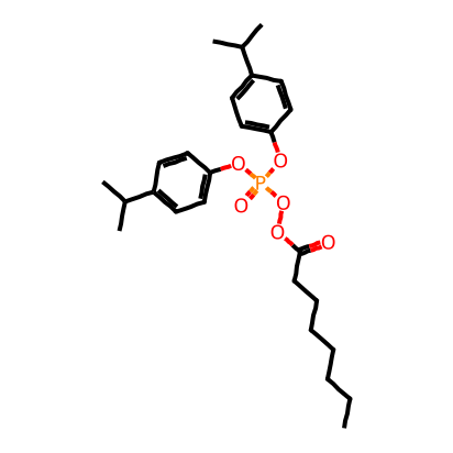 CCCCCCCC(=O)OOP(=O)(Oc1ccc(C(C)C)cc1)Oc1ccc(C(C)C)cc1